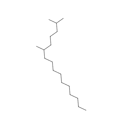 CCCCCCCCCCC(C)CCCC(C)C